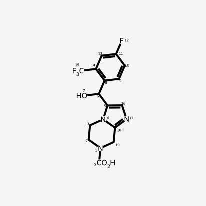 O=C(O)N1CCn2c(C(O)c3ccc(F)cc3C(F)(F)F)cnc2C1